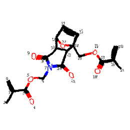 C=C(C)C(=O)OCN1C(=O)C2C3C=CC(COC(=O)C(=C)C)(O3)C2C1=O